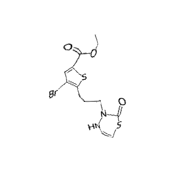 COC(=O)c1cc(Br)c(CCN2NC=CSC2=O)s1